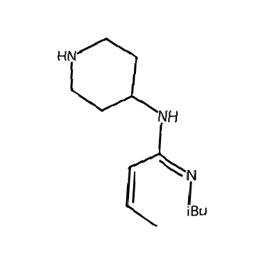 C/C=C\C(=N/C(C)CC)NC1CCNCC1